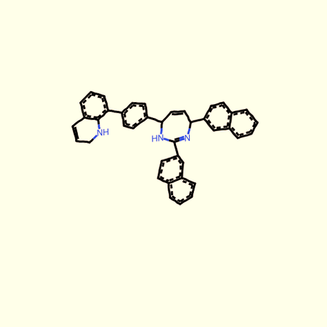 C1=Cc2cccc(-c3ccc(C4C=CC(c5ccc6ccccc6c5)N=C(c5ccc6ccccc6c5)N4)cc3)c2NC1